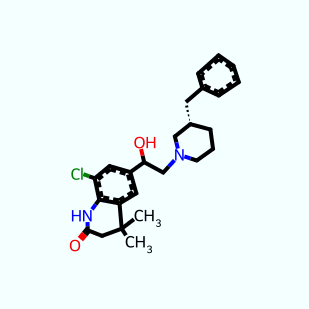 CC1(C)CC(=O)Nc2c(Cl)cc(C(O)CN3CCC[C@@H](Cc4ccccc4)C3)cc21